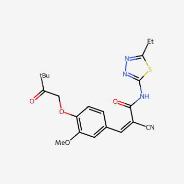 CCc1nnc(NC(=O)/C(C#N)=C\c2ccc(OCC(=O)C(C)(C)C)c(OC)c2)s1